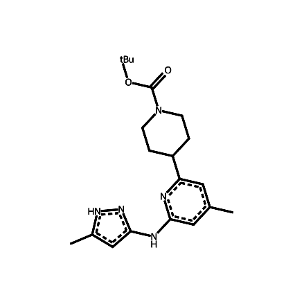 Cc1cc(Nc2cc(C)[nH]n2)nc(C2CCN(C(=O)OC(C)(C)C)CC2)c1